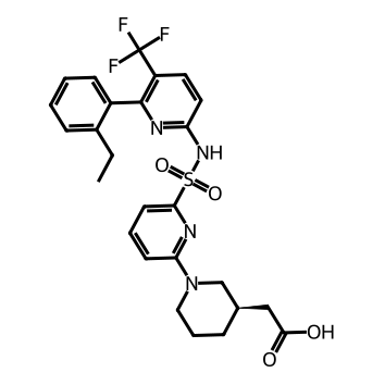 CCc1ccccc1-c1nc(NS(=O)(=O)c2cccc(N3CCC[C@H](CC(=O)O)C3)n2)ccc1C(F)(F)F